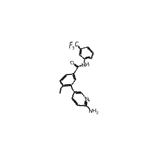 Cc1ccc(C(=O)Nc2cccc(C(F)(F)F)c2)cc1-c1ccc(N)nc1